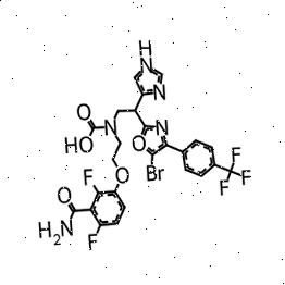 NC(=O)c1c(F)ccc(OCCN(CC(c2c[nH]cn2)c2nc(-c3ccc(C(F)(F)F)cc3)c(Br)o2)C(=O)O)c1F